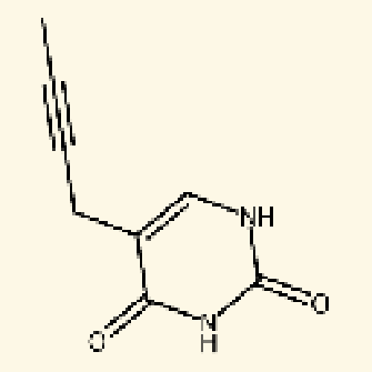 CC#CCc1c[nH]c(=O)[nH]c1=O